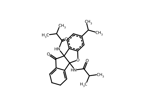 CC(C)C(=O)NC12Oc3cc(C(C)C)ccc3C1(NC(=O)C(C)C)C(=O)C1=CCCC=C12